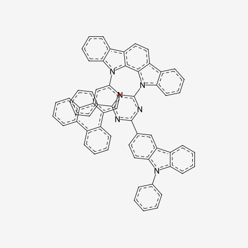 c1ccc(-c2nc(-c3ccc4c(c3)c3ccccc3n4-c3ccccc3)nc(-n3c4ccccc4c4ccc5c6ccccc6n(-c6ccc7c8ccccc8c8ccccc8c7c6)c5c43)n2)cc1